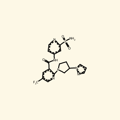 NS(=O)(=O)c1cc(NC(=O)c2cc(C(F)(F)F)cnc2N2CCC(n3cccn3)C2)ccn1